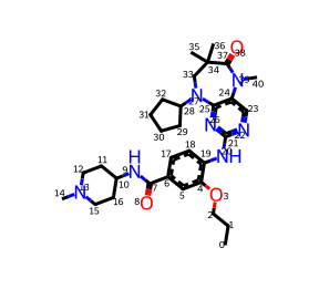 CCCOc1cc(C(=O)NC2CCN(C)CC2)ccc1Nc1ncc2c(n1)N(C1CCCC1)CC(C)(C)C(=O)N2C